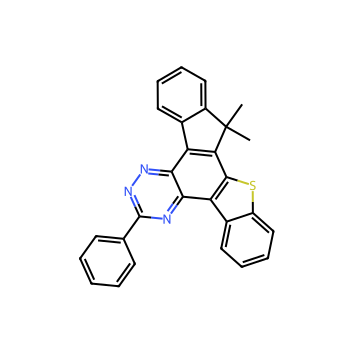 CC1(C)c2ccccc2-c2c1c1sc3ccccc3c1c1nc(-c3ccccc3)nnc21